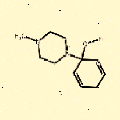 CCOC1(N2CCN(C)CC2)C=C[CH]C=C1